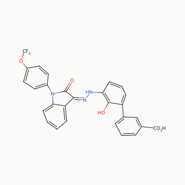 O=C(O)c1cccc(-c2cccc(N/N=C3\C(=O)N(c4ccc(OC(F)(F)F)cc4)c4ccccc43)c2O)c1